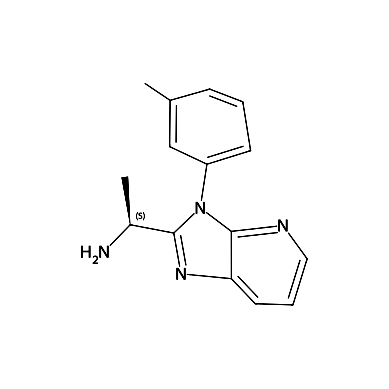 Cc1cccc(-n2c([C@H](C)N)nc3cccnc32)c1